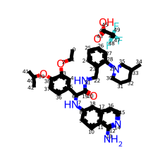 CCOc1cc(C(Nc2ccc3c(N)nccc3c2)C(=O)NCc2ccccc2N2CCCC(C)C2)ccc1OC(C)C.O=C(O)C(F)(F)F